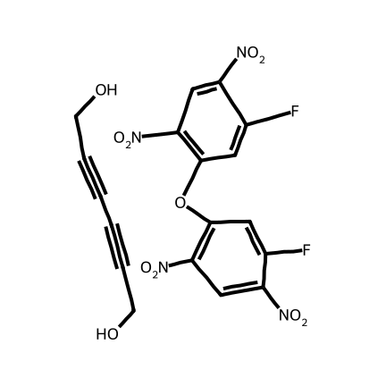 O=[N+]([O-])c1cc([N+](=O)[O-])c(Oc2cc(F)c([N+](=O)[O-])cc2[N+](=O)[O-])cc1F.OCC#CC#CCO